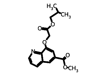 COC(=O)c1cc(OCC(=O)OCC(C)C)c2ncccc2c1